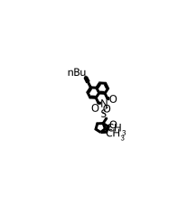 CCCCC#Cc1ccc2c3c(cccc13)C(=O)N(OSCC13CCC(CC1=O)C3(C)C)C2=O